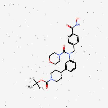 CC(C)(C)OC(=O)N1CCC(c2cccc(N(Cc3ccc(C(=O)NO)cc3)C(=O)N3CCOCC3)c2)CC1